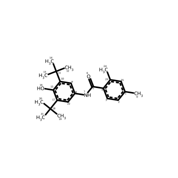 Cc1ccc(C(=O)Nc2cc(C(C)(C)C)c(O)c(C(C)(C)C)c2)c(C)c1